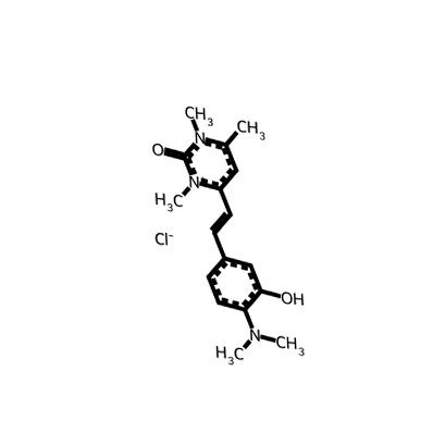 Cc1cc(C=Cc2ccc(N(C)C)c(O)c2)[n+](C)c(=O)n1C.[Cl-]